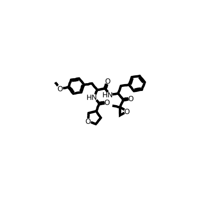 COc1ccc(CC(NC(=O)C2CCOC2)C(=O)NC(Cc2ccccc2)C(=O)C2(C)CO2)cc1